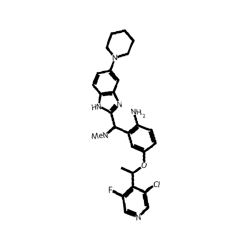 CNC(c1nc2cc(N3CCCCC3)ccc2[nH]1)c1cc(OC(C)c2c(F)cncc2Cl)ccc1N